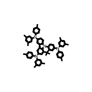 Cc1ccc(N(c2cc(C)cc(C)c2)c2ccc3c(c2)C(C)(C)c2cc(N(c4ccc(C)cc4)c4cc(C)cc(C)c4)cc4c5cc(N(c6ccc(C)cc6)c6cc(C)cc(C)c6)ccc5n-3c24)cc1